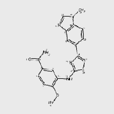 CC(C)Oc1ccc(C(N)=O)cc1Nc1nc(-c2ccc3c(c2)ncn3C)cs1